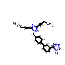 CCC#Cc1nc(C#CCC)n(Cc2ccc(-c3cccc(-c4nnn[nH]4)c3)cc2)n1